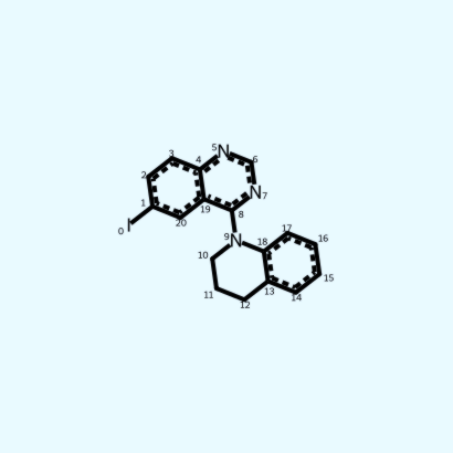 Ic1ccc2ncnc(N3CCCc4ccccc43)c2c1